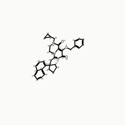 O=C1c2c(OCc3ccccc3)c(=O)nc(CC3(c4cccc5ccccc45)CCCC3)n2CCN1CC1CC1